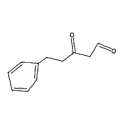 O=CCC(=O)CCc1ccccc1